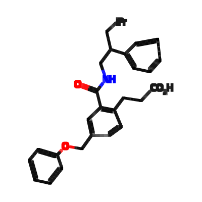 CC(C)CC(CNC(=O)c1cc(COc2ccccc2)ccc1CCC(=O)O)c1ccccc1